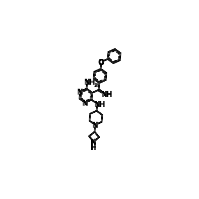 N=C(c1ccc(Oc2ccccc2)cc1)c1c(N)ncnc1NC1CCN(C2CNC2)CC1